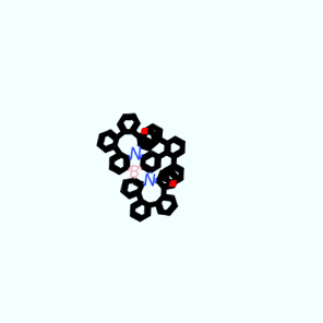 c1ccc(-c2cccc(-c3ccccc3)c2-c2cc3c4c(c2)-n2c5ccccc5c5ccccc5c5ccccc5c5cccc(c52)B4c2cccc4c5ccccc5c5ccccc5c5ccccc5n-3c24)cc1